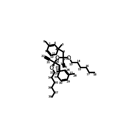 C#CC(CC1(C)C=C(C)C=CC1)(OCCCCCC)OC(C#C)(CC1(C)C=C(C)C=CC1)OCCCCCC